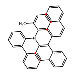 Cc1ccccc1N(c1ccccc1-c1ccccc1)c1ccc2ccccc2c1-c1ccc2ccccc2c1